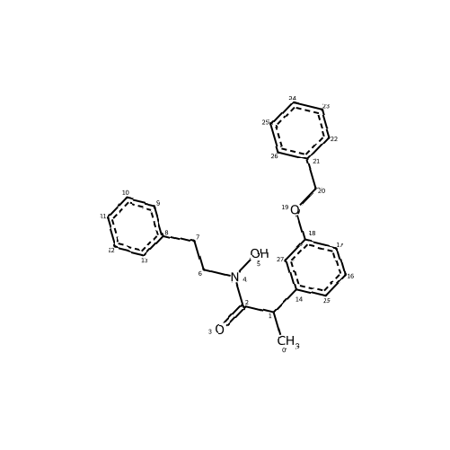 CC(C(=O)N(O)CCc1ccccc1)c1cccc(OCc2ccccc2)c1